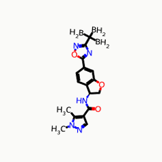 BC(B)(B)c1noc(-c2ccc3c(c2)OC[C@H]3NC(=O)c2cnn(C)c2C)n1